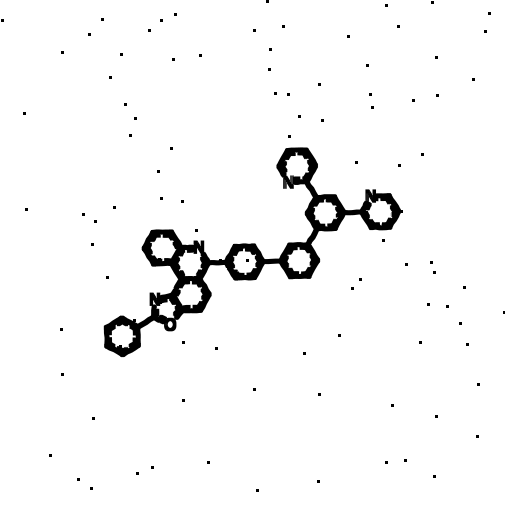 c1ccc(-c2nc3c(ccc4c(-c5ccc(-c6cccc(-c7cc(-c8ccccn8)cc(-c8ccccn8)c7)c6)cc5)nc5ccccc5c43)o2)cc1